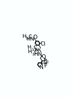 CNC(=O)c1ccc(C[C@@H](CNC(=O)CC(c2cccnc2)C2(C(F)(F)F)CC2)N(C)C)c(Cl)c1